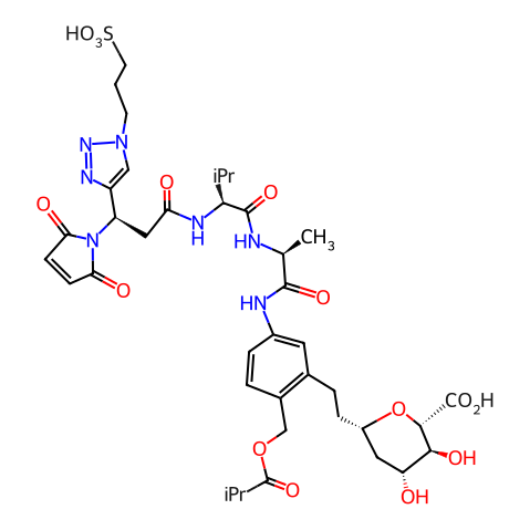 CC(C)C(=O)OCc1ccc(NC(=O)[C@H](C)NC(=O)[C@@H](NC(=O)C[C@H](c2cn(CCCS(=O)(=O)O)nn2)N2C(=O)C=CC2=O)C(C)C)cc1CC[C@H]1C[C@@H](O)[C@H](O)[C@@H](C(=O)O)O1